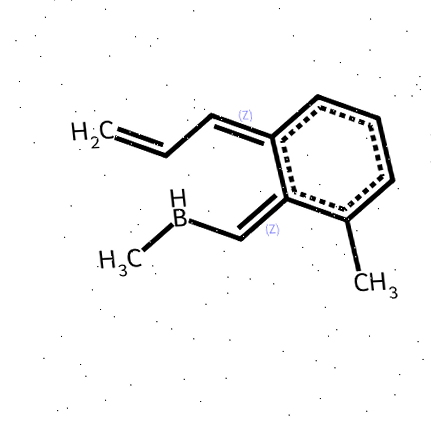 C=C/C=c1/cccc(C)/c1=C/BC